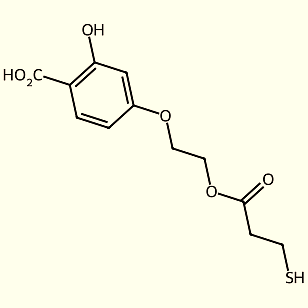 O=C(CCS)OCCOc1ccc(C(=O)O)c(O)c1